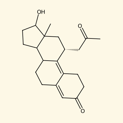 CC(=O)C[C@H]1CC2(C)C(O)CCC2C2CCC3=CC(=O)CCC3=C21